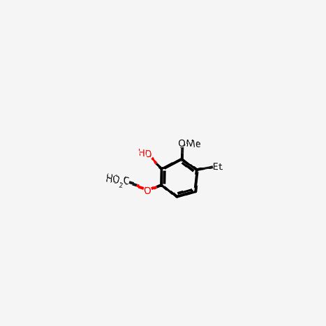 CCc1ccc(OC(=O)O)c(O)c1OC